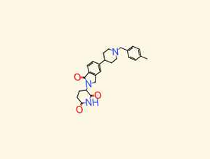 Cc1ccc(CN2CCC(c3ccc4c(c3)CN(C3CCC(=O)NC3=O)C4=O)CC2)cc1